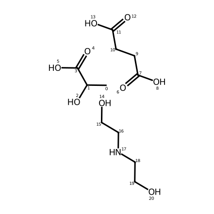 CC(O)C(=O)O.O=C(O)CCC(=O)O.OCCNCCO